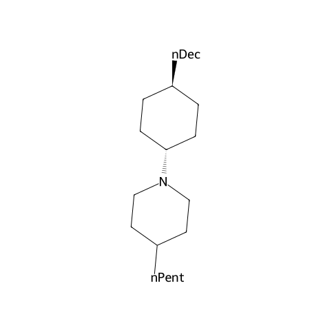 CCCCCCCCCC[C@H]1CC[C@H](N2CCC(CCCCC)CC2)CC1